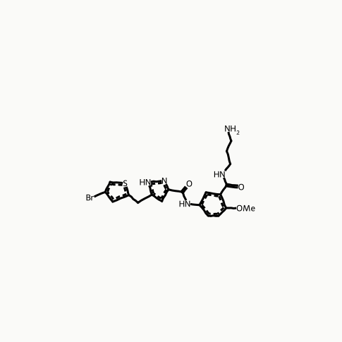 COc1ccc(NC(=O)c2cc(Cc3cc(Br)cs3)[nH]n2)cc1C(=O)NCCCN